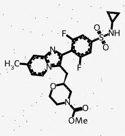 COC(=O)N1CCO[C@@H](Cc2c(-c3c(F)cc(S(=O)(=O)NC4CC4)cc3F)nc3cc(C)ccn23)C1